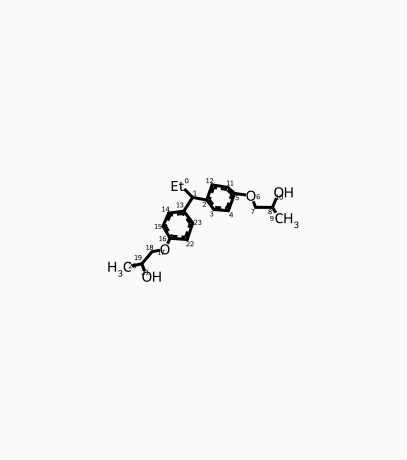 CCC(c1ccc(OCC(C)O)cc1)c1ccc(OCC(C)O)cc1